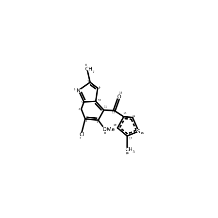 COC1=C(Cl)CC2=NC(C)=[C]C2=C1C(=O)c1csc(C)c1